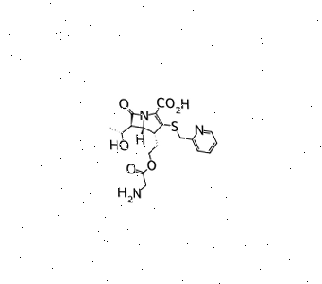 C[C@@H](O)[C@H]1C(=O)N2C(C(=O)O)=C(SCc3ccccn3)[C@H](CCOC(=O)CN)[C@H]12